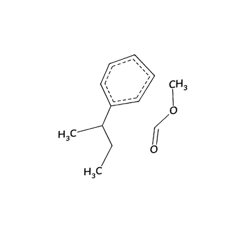 CCC(C)c1ccccc1.COC=O